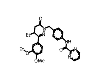 CCOc1cc(C2=NN(Cc3ccc(NC(=O)c4ncccn4)cc3)C(=O)CC2CC)ccc1OC